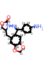 Nc1ccc(C2=NN3C(=O)OCC3Cc3cc4c(cc32)OCO4)cc1